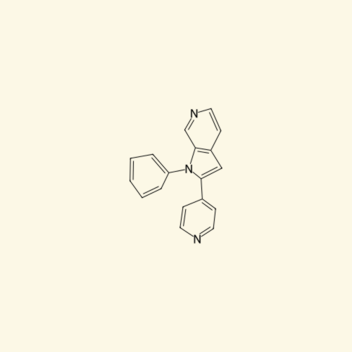 c1ccc(-n2c(-c3ccncc3)cc3ccncc32)cc1